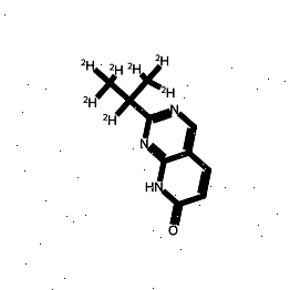 [2H]C([2H])([2H])C([2H])(c1ncc2ccc(=O)[nH]c2n1)C([2H])([2H])[2H]